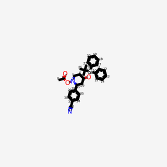 CC(=O)ON1CCC(O[Si](c2ccccc2)(c2ccccc2)C(C)(C)C)CC1c1ccc(C#N)cc1